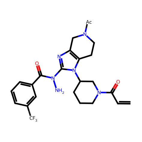 C=CC(=O)N1CCCC(n2c(N(N)C(=O)c3cccc(C(F)(F)F)c3)nc3c2CCN(C(C)=O)C3)C1